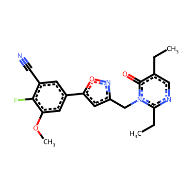 CCc1cnc(CC)n(Cc2cc(-c3cc(C#N)c(F)c(OC)c3)on2)c1=O